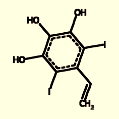 C=Cc1c(I)c(O)c(O)c(O)c1I